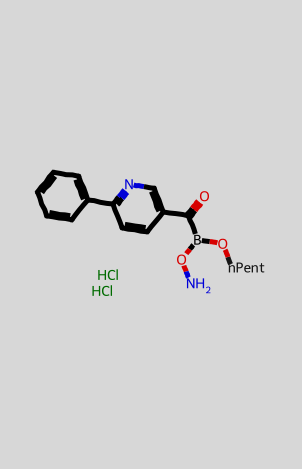 CCCCCOB(ON)C(=O)c1ccc(-c2ccccc2)nc1.Cl.Cl